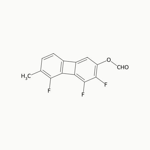 Cc1ccc2c(c1F)-c1c-2cc(OC=O)c(F)c1F